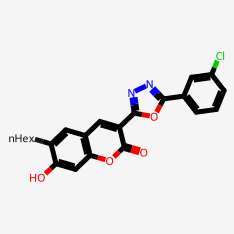 CCCCCCc1cc2cc(-c3nnc(-c4cccc(Cl)c4)o3)c(=O)oc2cc1O